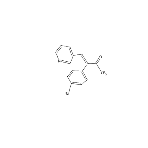 O=C(C(=Cc1cccnc1)c1ccc(Br)cc1)C(F)(F)F